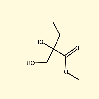 CCC(O)(CO)C(=O)OC